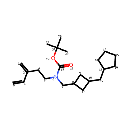 C=CC(=C)CCN(CC1CC(CC2CCCC2)C1)C(=O)OC(C)(C)C